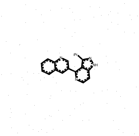 CC(C)c1n[nH]c2ccnc(-c3cnc4ccccc4c3)c12